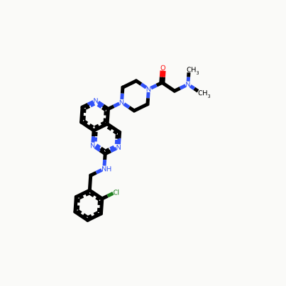 CN(C)CC(=O)N1CCN(c2nccc3nc(NCc4ccccc4Cl)ncc23)CC1